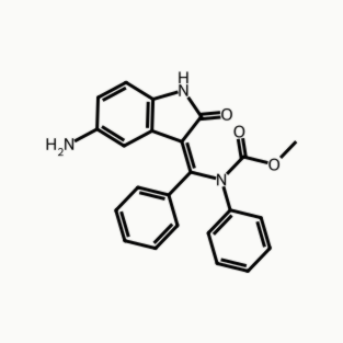 COC(=O)N(/C(=C1\C(=O)Nc2ccc(N)cc21)c1ccccc1)c1ccccc1